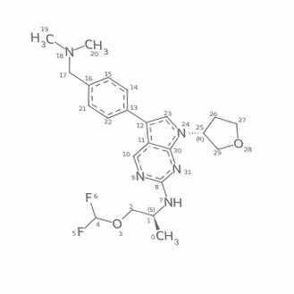 C[C@@H](COC(F)F)Nc1ncc2c(-c3ccc(CN(C)C)cc3)cn([C@@H]3CCOC3)c2n1